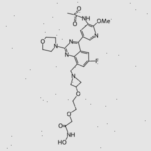 COc1ncc(-c2nc(N3CCOCC3)nc3c(CN4CC(OCCOCC(=O)NO)C4)cc(F)cc23)cc1NS(C)(=O)=O